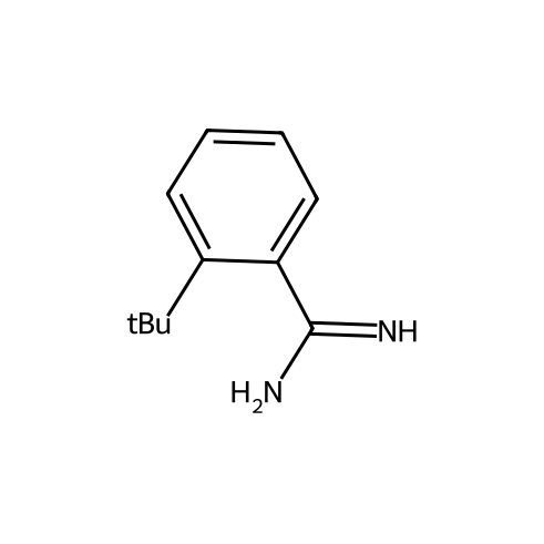 CC(C)(C)c1ccccc1C(=N)N